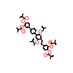 C=C(C)COc1cc(/C=C/c2ccc(OC(=O)C(=C)C)c(OC(=O)C(=C)C)c2)c(OC(C)C(=C)C)cc1-c1ccc(-c2ccc(OC(=O)C(=C)C)c(OC(=O)C(=C)C)c2)cc1